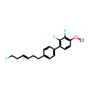 CCOc1ccc(-c2ccc(CC/C=C/CCF)cc2)c(F)c1F